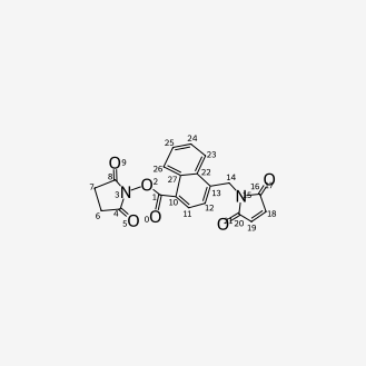 O=C(ON1C(=O)CCC1=O)c1ccc(CN2C(=O)C=CC2=O)c2ccccc12